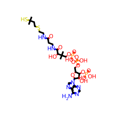 CC(C)(S)CCSCCNC(=O)CCNC(=O)C(O)C(C)(C)COP(=O)(O)OP(=O)(O)OCC1OC(n2cnc3c(N)ncnc32)C(O)C1OP(=O)(O)O